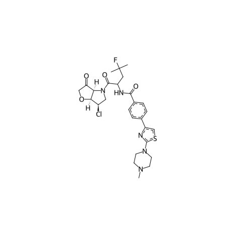 CN1CCN(c2nc(-c3ccc(C(=O)NC(CC(C)(C)F)C(=O)N4C[C@@H](Cl)[C@H]5OCC(=O)[C@H]54)cc3)cs2)CC1